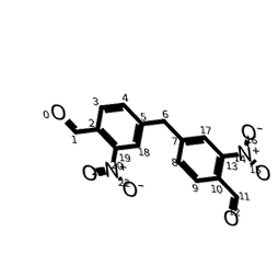 O=Cc1ccc(Cc2ccc(C=O)c([N+](=O)[O-])c2)cc1[N+](=O)[O-]